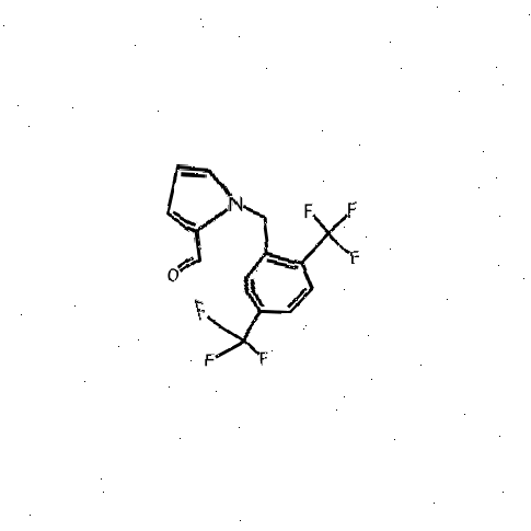 O=Cc1cccn1Cc1cc(C(F)(F)F)ccc1C(F)(F)F